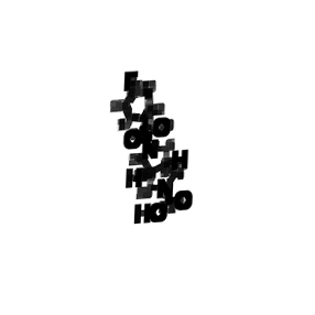 O=C(O)N1C[C@@H]2CN(S(=O)(=O)c3ccc(F)cc3)C[C@@H]2C1